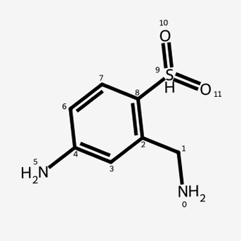 NCc1cc(N)ccc1[SH](=O)=O